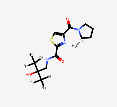 [2H]C([2H])([2H])C(O)(CNC(=O)c1nc(C(=O)N2CCC[C@@H]2C)cs1)C([2H])([2H])[2H]